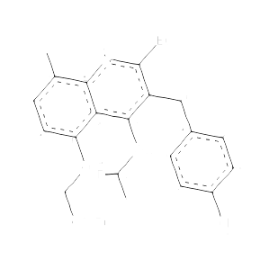 CCOC(=O)COc1ccc(Cl)c2nc(CC)c(Cc3ccc(Cl)cc3)c(OC(F)F)c12